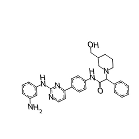 Nc1cccc(Nc2nccc(-c3ccc(NC(=O)C(c4ccccc4)N4CCCC(CO)C4)cc3)n2)c1